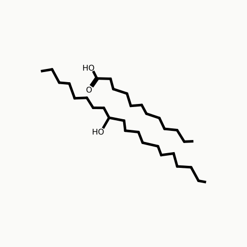 CCCCCCCCCCCC(=O)O.CCCCCCCCCCCC(O)CCCCCCCC